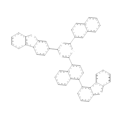 c1ccc2cc(-c3nc(-c4ccc5c(c4)oc4ccccc45)nc(-c4ccc(-c5cccc6oc7ccccc7c56)c5ccccc45)n3)ccc2c1